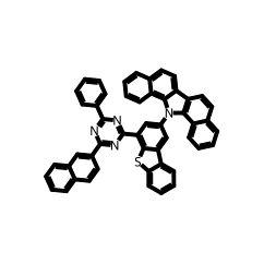 c1ccc(-c2nc(-c3ccc4ccccc4c3)nc(-c3cc(-n4c5c6ccccc6ccc5c5ccc6ccccc6c54)cc4c3sc3ccccc34)n2)cc1